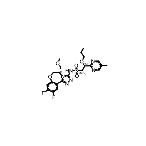 CCCO[C@@H](c1ncc(C)cn1)[C@H](C)S(=O)(=O)Nc1nnc2n1[C@@H](COC)COc1cc(F)c(F)cc1-2